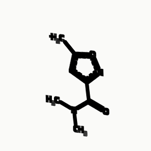 [CH2]c1cc(C(=O)N(C)C)no1